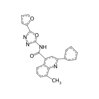 Cc1cccc2c(C(=O)Nc3nnc(-c4ccco4)o3)cc(-c3ccccc3)nc12